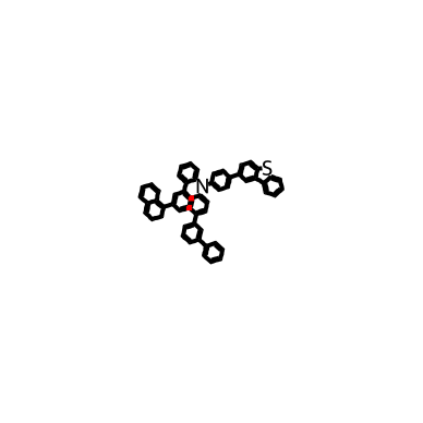 C1=c2ccccc2=C(c2cccc(-c3ccccc3N(c3ccc(-c4cccc(-c5ccccc5)c4)cc3)c3ccc(-c4ccc5sc6ccccc6c5c4)cc3)c2)CC1